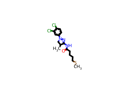 CSCCCCC(=O)NC1=NN(c2ccc(Cl)c(Cl)c2)CC1C